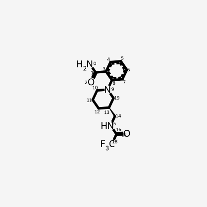 NC(=O)c1ccccc1N1CCC[C@H](CNC(=O)C(F)(F)F)C1